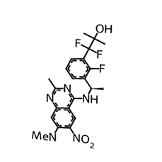 CNc1cc2nc(C)nc(N[C@H](C)c3cccc(C(F)(F)C(C)(C)O)c3F)c2cc1[N+](=O)[O-]